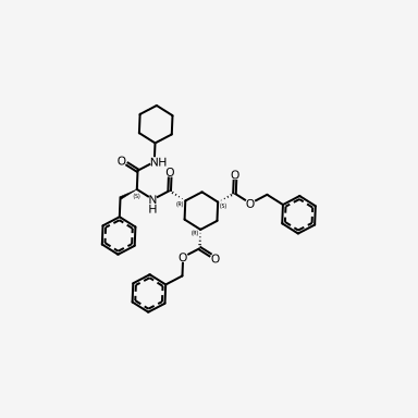 O=C(N[C@@H](Cc1ccccc1)C(=O)NC1CCCCC1)[C@H]1C[C@@H](C(=O)OCc2ccccc2)C[C@@H](C(=O)OCc2ccccc2)C1